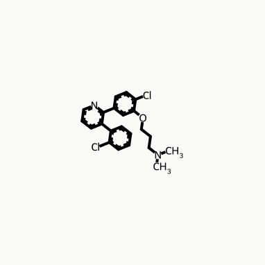 CN(C)CCCOc1cc(-c2ncccc2-c2ccccc2Cl)ccc1Cl